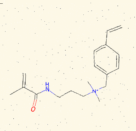 C=Cc1ccc(C[N+](C)(C)CCCNC(=O)C(=C)C)cc1